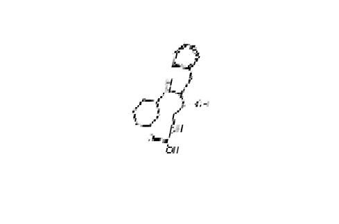 O=C(O)NC[C@@H](O)C(Cc1ccccc1)NC1CCCCC1